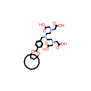 O=C(O)CN(CCN(CCN(CC(=O)O)CC(=O)O)Cc1ccc(C2OC34CCCCCCCCCCC(CC3)(C4)O2)cc1)CC(=O)O